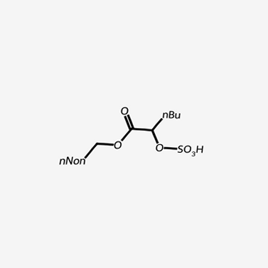 CCCCCCCCCCOC(=O)C(CCCC)OS(=O)(=O)O